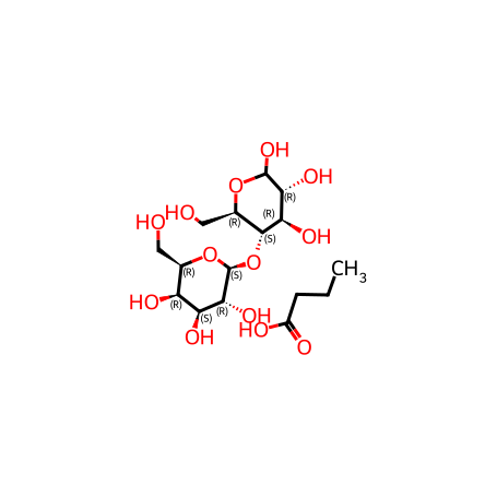 CCCC(=O)O.OC[C@H]1O[C@@H](O[C@H]2[C@H](O)[C@@H](O)C(O)O[C@@H]2CO)[C@H](O)[C@@H](O)[C@H]1O